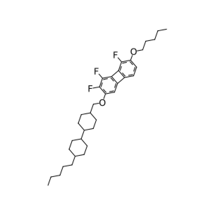 CCCCCOc1ccc2c(c1F)-c1c-2cc(OCC2CCC(C3CCC(CCCCC)CC3)CC2)c(F)c1F